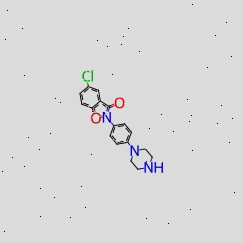 O=c1c2cc(Cl)ccc2on1-c1ccc(N2CCNCC2)cc1